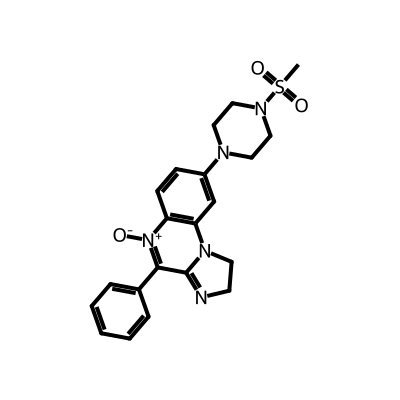 CS(=O)(=O)N1CCN(c2ccc3c(c2)N2CCN=C2C(c2ccccc2)=[N+]3[O-])CC1